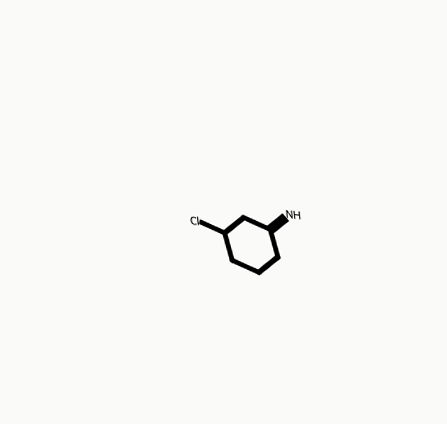 N=C1CCCC(Cl)C1